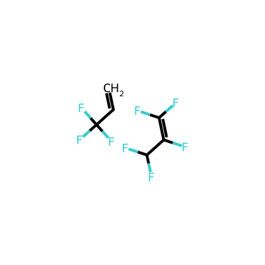 C=CC(F)(F)F.FC(F)=C(F)C(F)F